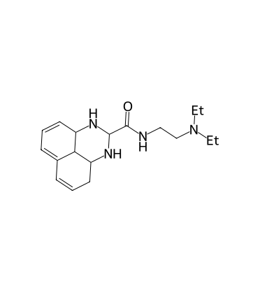 CCN(CC)CCNC(=O)C1NC2C=CC=C3C=CCC(N1)C32